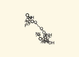 Cc1ncsc1-c1ccc(C(C)NC(=O)[C@@H]2C[C@@H](O)CN2C(=O)C(NC(=O)COCCOCCCCCOc2cc(F)c([C@@H]3c4[nH]c5ccccc5c4C[C@@H](C)N3CC(C)(C)F)c(F)c2)C(C)(C)C)cc1